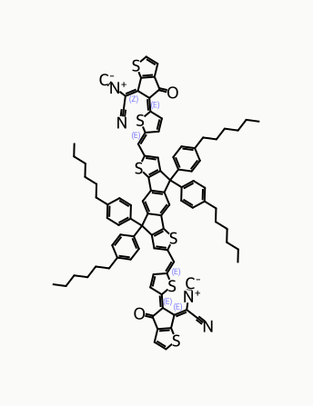 [C-]#[N+]/C(C#N)=C1/C(=c2/cc/c(=C\c3cc4c(s3)-c3cc5c(cc3C4(c3ccc(CCCCCC)cc3)c3ccc(CCCCCC)cc3)-c3sc(/C=c4\cc/c(=C6\C(=O)c7ccsc7\C6=C(/C#N)[N+]#[C-])s4)cc3C5(c3ccc(CCCCCC)cc3)c3ccc(CCCCCC)cc3)s2)C(=O)c2ccsc21